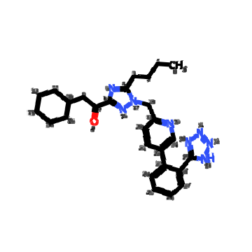 CCCCc1nc(C(=O)CC2CCCCC2)nn1Cc1ccc(-c2ccccc2-c2nnn[nH]2)cn1